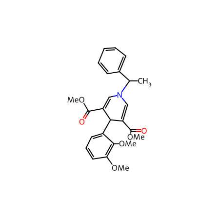 COC(=O)C1=CN(C(C)c2ccccc2)C=C(C(=O)OC)C1c1cccc(OC)c1OC